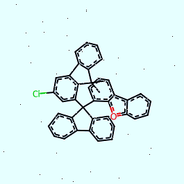 CC1(C)c2ccccc2-c2cc(Cl)cc(C3(c4cccc5c4oc4ccccc45)c4ccccc4-c4ccccc43)c21